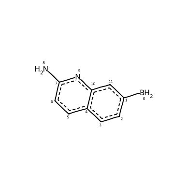 Bc1ccc2ccc(N)nc2c1